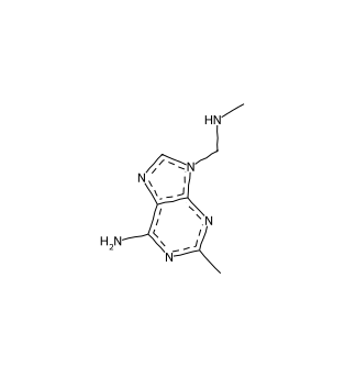 CNCn1cnc2c(N)nc(C)nc21